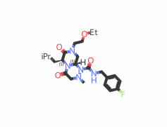 CCOCCN1C[C@H]2N(C(=O)CN(C)N2C(=O)NCc2ccc(F)cc2)[C@@H](CC(C)C)C1=O